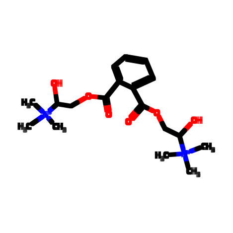 C[N+](C)(C)C(O)COC(=O)c1ccccc1C(=O)OCC(O)[N+](C)(C)C